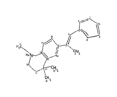 CC(=Cc1ccccc1)c1ccc2c(c1)C(C)(C)CCN2C